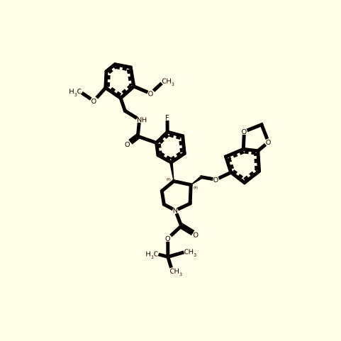 COc1cccc(OC)c1CNC(=O)c1cc([C@@H]2CCN(C(=O)OC(C)(C)C)C[C@@H]2COc2ccc3c(c2)OCO3)ccc1F